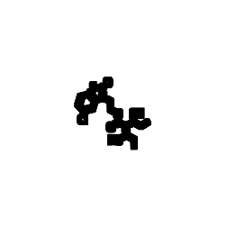 CCC(S)N(C(=O)OCCn1c(=O)sc2ccc(Cl)cc21)C(S)CC